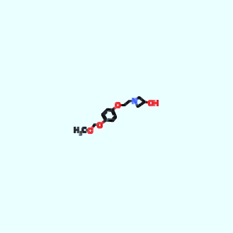 COCOc1ccc(OCCN2CC(O)C2)cc1